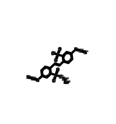 [N-]=[N+]=Nc1ccc(C=Cc2ccc(N=[N+]=[N-])cc2S(=O)(=O)[O-])c(S(=O)(=O)[O-])c1.[Na+].[Na+]